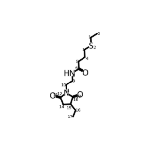 CCSCCCC(=O)NCCN1C(=O)CC(CC)C1=O